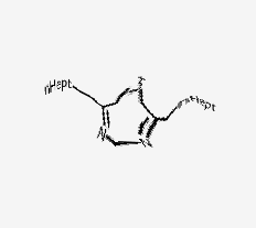 CCCCCCCc1nnc(CCCCCCC)s1